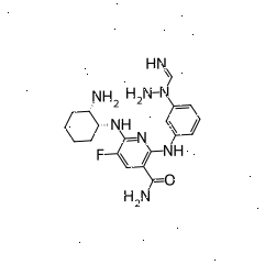 N=CN(N)c1cccc(Nc2nc(N[C@@H]3CCCC[C@@H]3N)c(F)cc2C(N)=O)c1